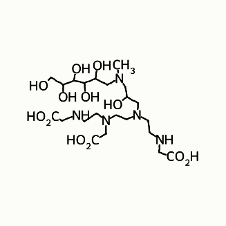 CN(CC(O)CN(CCNCC(=O)O)CCN(CCNCC(=O)O)CC(=O)O)CC(O)C(O)C(O)C(O)CO